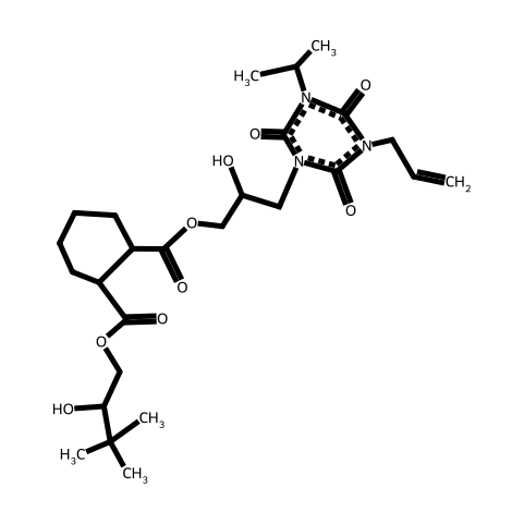 C=CCn1c(=O)n(CC(O)COC(=O)C2CCCCC2C(=O)OCC(O)C(C)(C)C)c(=O)n(C(C)C)c1=O